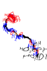 Nc1ncnc2c1c(C#CCNC(=O)CCSSCC(N)C(=O)NCCCCCC(=O)NC(CC(=O)NC(CC(=O)NC(CC(=O)NC(CC(=O)O)C(=O)O)C(=O)O)C(=O)O)C(=O)O)cn2C1CC(O)C(COP(=O)(O)OP(=O)(O)OP(=O)(O)O)O1